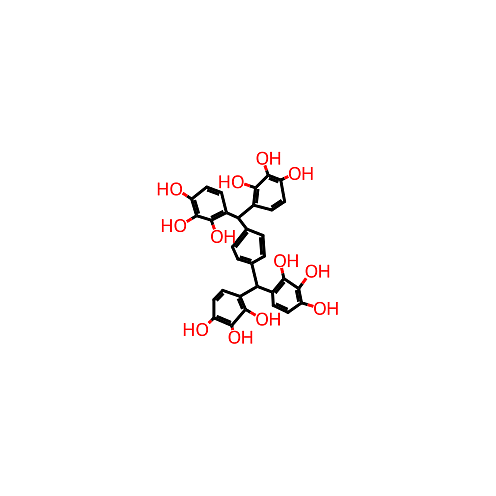 Oc1ccc(C(c2ccc(C(c3ccc(O)c(O)c3O)c3ccc(O)c(O)c3O)cc2)c2ccc(O)c(O)c2O)c(O)c1O